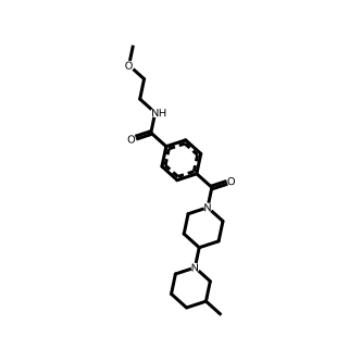 COCCNC(=O)c1ccc(C(=O)N2CCC(N3CCCC(C)C3)CC2)cc1